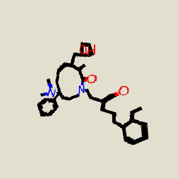 CCC1C=CC=CC1CCCC(=C=O)CCN1CCC[C@](c2ccccc2)(N(C)C)CCCC(CC2(O)CCC2)C(C)C1=O